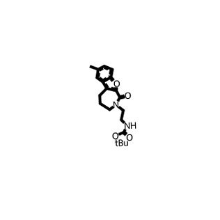 Cc1ccc2oc3c(c2c1)CCCN(CCNC(=O)OC(C)(C)C)C3=O